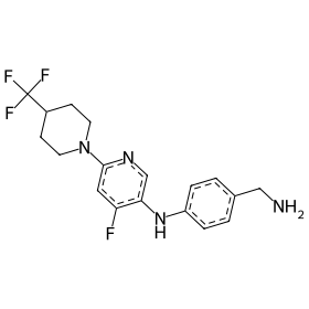 NCc1ccc(Nc2cnc(N3CCC(C(F)(F)F)CC3)cc2F)cc1